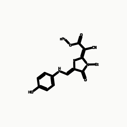 CCCOC(=O)C(C#N)=c1sc(=CNc2ccc(O)cc2)c(=O)n1CC